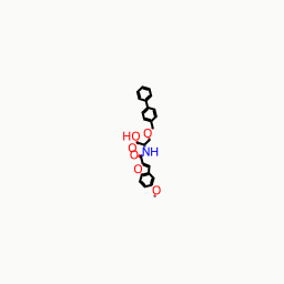 COc1ccc2oc(C(=O)NC(COCc3ccc(-c4ccccc4)cc3)C(=O)O)cc2c1